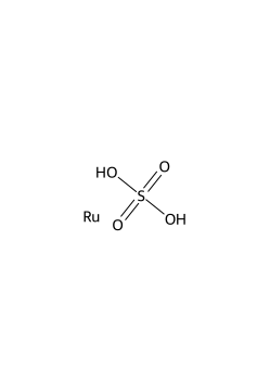 O=S(=O)(O)O.[Ru]